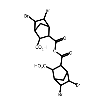 O=C(O)C1C2CC(C(Br)C2Br)C1C(=O)OC(=O)C1C2CC(C(Br)C2Br)C1C(=O)O